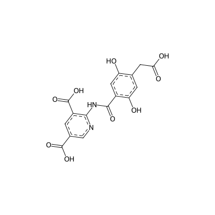 O=C(O)Cc1cc(O)c(C(=O)Nc2ncc(C(=O)O)cc2C(=O)O)cc1O